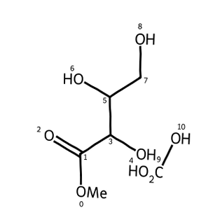 COC(=O)C(O)C(O)CO.O=C(O)O